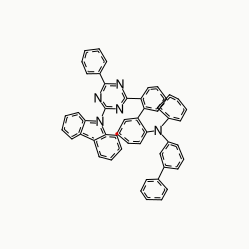 c1ccc(-c2cccc(N(c3ccccc3)c3ccccc3-c3ccccc3-c3nc(-c4ccccc4)nc(-n4c5ccccc5c5ccccc54)n3)c2)cc1